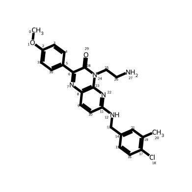 COc1ccc(-c2nc3ccc(NCc4ccc(Cl)c(C)c4)nc3n(CCN)c2=O)cc1